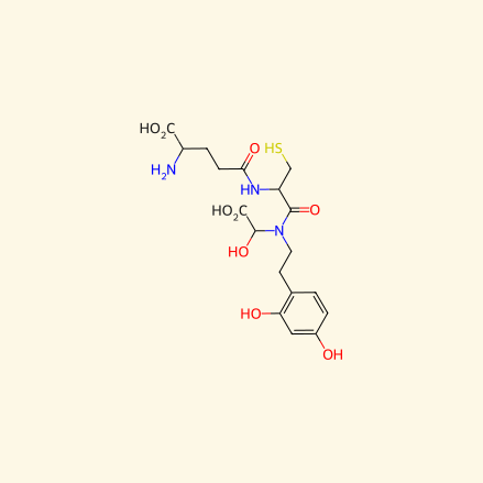 NC(CCC(=O)NC(CS)C(=O)N(CCc1ccc(O)cc1O)C(O)C(=O)O)C(=O)O